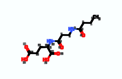 CCCC(=O)NCCC(=O)N[C@H](CCC(=O)O)C(=O)O